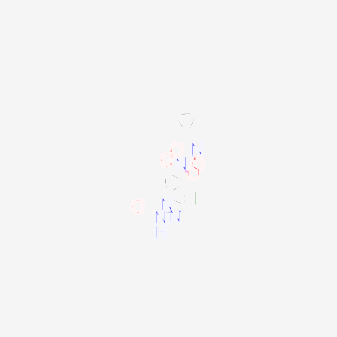 CC(=O)OC1c2ccc(-c3nc(NC4CCOCC4)ncc3Cl)cc2C(=O)N1CC(=O)N(C)CCc1ccccc1